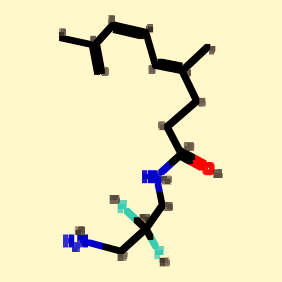 C=C(C)/C=C\C=C(/C)CCC(=O)NCC(F)(F)CN